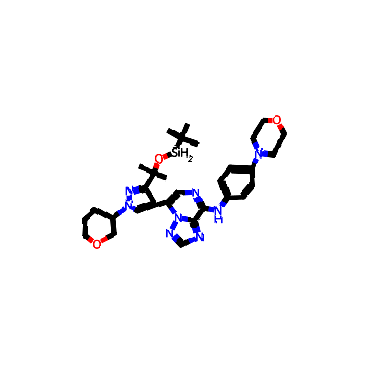 CC(C)(C)[SiH2]OC(C)(C)c1nn(C2CCCOC2)cc1-c1cnc(Nc2ccc(N3CCOCC3)cc2)c2ncnn12